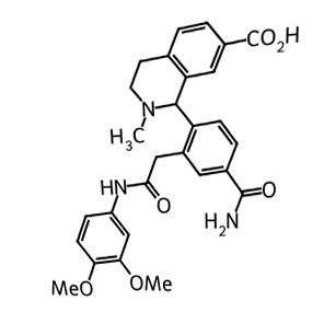 COc1ccc(NC(=O)Cc2cc(C(N)=O)ccc2C2c3cc(C(=O)O)ccc3CCN2C)cc1OC